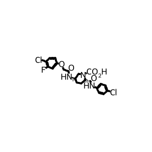 O=C(COc1ccc(Cl)c(F)c1)N[C@@H]1CC[C@@H](C(=O)Nc2ccc(Cl)cc2)N(C(=O)O)C1